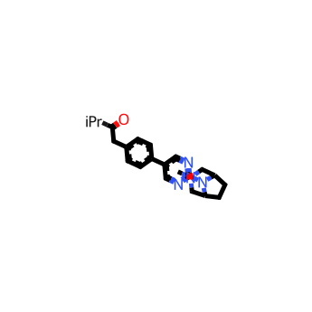 CC(C)C(=O)Cc1ccc(-c2cnc(N3C4CCC3CN(C)C4)nc2)cc1